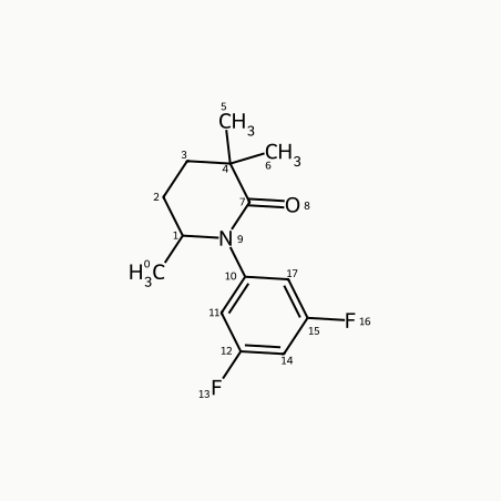 CC1CCC(C)(C)C(=O)N1c1cc(F)cc(F)c1